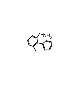 Cc1cccc(CN)c1-c1cc[c]cc1